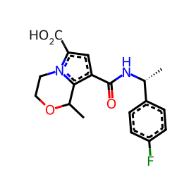 CC1OCCn2c(C(=O)O)cc(C(=O)N[C@H](C)c3ccc(F)cc3)c21